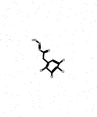 O=C(Cc1cc(Cl)c(Cl)c(Cl)c1Cl)N=NO